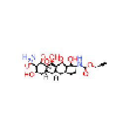 C#CCOC(=O)Nc1ccc2c(c1O)C(=O)C1=C(O)[C@]3(O)C(=O)C(C(N)=O)=C(O)C[C@@H]3C[C@@H]1C2